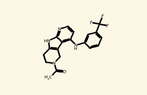 CC(=O)N1CCc2[nH]c3nccc(Nc4cccc(C(F)(F)F)c4)c3c2C1